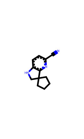 N#Cc1ccc2c(n1)C1(CCCC1)CN2